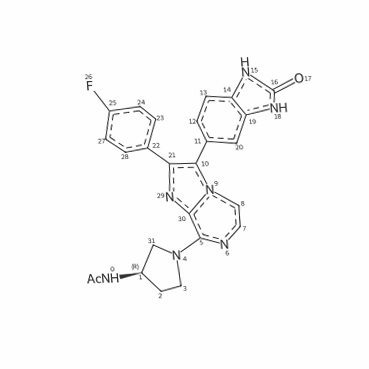 CC(=O)N[C@@H]1CCN(c2nccn3c(-c4ccc5[nH]c(=O)[nH]c5c4)c(-c4ccc(F)cc4)nc23)C1